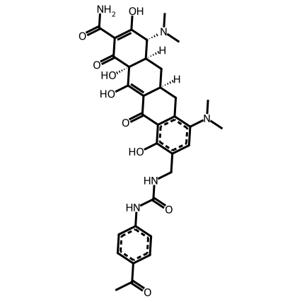 CC(=O)c1ccc(NC(=O)NCc2cc(N(C)C)c3c(c2O)C(=O)C2=C(O)[C@@]4(O)C(=O)C(C(N)=O)=C(O)[C@H](N(C)C)[C@H]4C[C@H]2C3)cc1